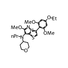 CCCN(c1c(OC)nn2c(-c3c(OC)cc(OCC)cc3OC)csc12)C1CCOCC1